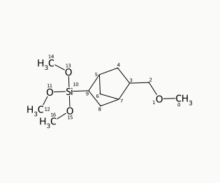 COCC1CC2CC1CC2[Si](OC)(OC)OC